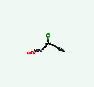 C[C](C)(C)[Sn+]([Cl])[C](C)(C)C.[OH-]